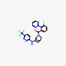 O=C(c1cccc(F)c1-c1ncccn1)N1CC2CC(Nc3ccc(C(F)(F)F)nn3)C1C2